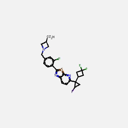 O=C(O)C1CN(Cc2ccc(-c3nc4ccc(C5(C6CC(F)(F)C6)CC5I)nc4s3)c(F)c2)C1